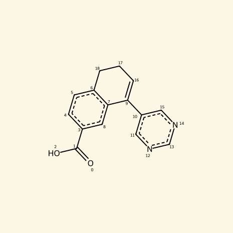 O=C(O)c1ccc2c(c1)C(c1cncnc1)=CCC2